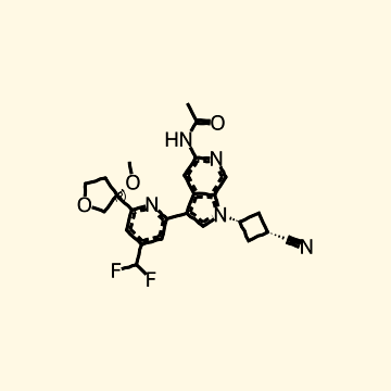 CO[C@@]1(c2cc(C(F)F)cc(-c3cn([C@H]4C[C@@H](C#N)C4)c4cnc(NC(C)=O)cc34)n2)CCOC1